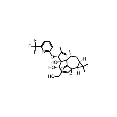 CC1=C[C@]23C(=O)[C@@H](C=C(CO)[C@@H](O)[C@]2(O)[C@H]1Oc1cccc(C(F)(F)F)n1)[C@H]1[C@@H](C[C@H]3C)C1(C)C